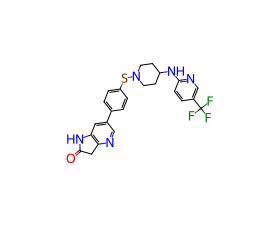 O=C1Cc2ncc(-c3ccc(SN4CCC(Nc5ccc(C(F)(F)F)cn5)CC4)cc3)cc2N1